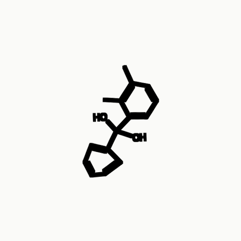 Cc1cccc(C(O)(O)c2ccccc2)c1C